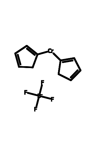 C1=CC[C]([Cr][C]2=CC=CC2)=C1.F[B-](F)(F)F